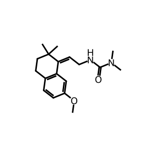 COc1ccc2c(c1)/C(=C\CNC(=O)N(C)C)C(C)(C)CC2